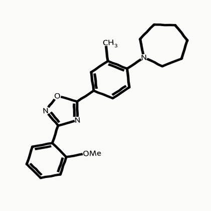 COc1ccccc1-c1noc(-c2ccc(N3CCCCCC3)c(C)c2)n1